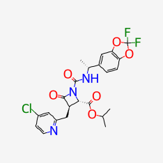 CC(C)OC(=O)[C@@H]1[C@@H](Cc2cc(Cl)ccn2)C(=O)N1C(=O)N[C@H](C)c1ccc2c(c1)OC(F)(F)O2